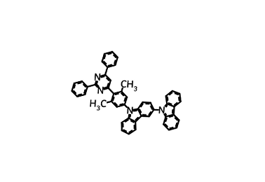 Cc1cc(-n2c3ccccc3c3cc(-n4c5ccccc5c5ccccc54)ccc32)cc(C)c1-c1cc(-c2ccccc2)nc(-c2ccccc2)n1